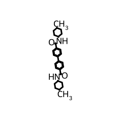 CC1CCC(NC(=O)c2ccc(-c3ccc(C(=O)NC4CCC(C)CC4)cc3)cc2)CC1